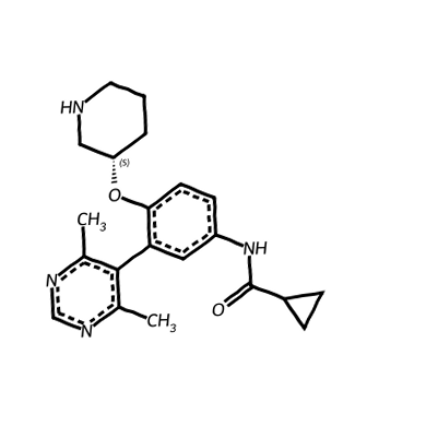 Cc1ncnc(C)c1-c1cc(NC(=O)C2CC2)ccc1O[C@H]1CCCNC1